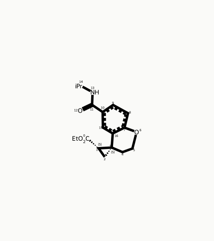 CCOC(=O)[C@H]1C[C@]12CCOc1ccc(C(=O)NC(C)C)cc12